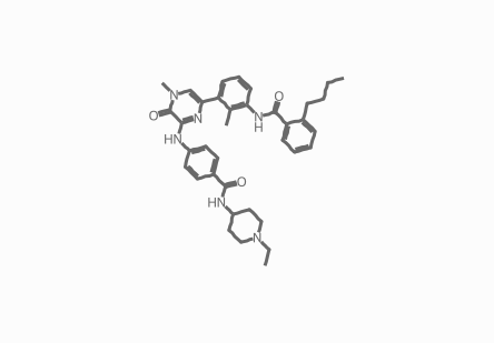 CCCCc1ccccc1C(=O)Nc1cccc(-c2cn(C)c(=O)c(Nc3ccc(C(=O)NC4CCN(CC)CC4)cc3)n2)c1C